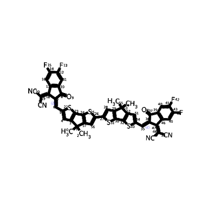 CC1(C)c2cc(/C=C3\C(=O)c4cc(F)c(F)cc4C3=C(C#N)C#N)sc2-c2sc(-c3cc4c(s3)-c3sc(/C=C5\C(=O)c6cc(F)c(F)cc6C5=C(C#N)C#N)cc3C4(C)C)cc21